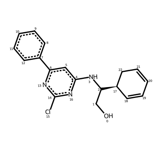 OCC(Nc1cc(-c2ccccc2)nc(Cl)n1)[C@@H]1C=CC=CC1